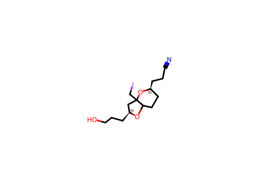 N#CCC[C@H]1CCC2O[C@@H](CCCO)CC2(CI)O1